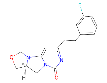 O=c1nc(CCc2cccc(F)c2)cc2n1C[C@H]1COCN21